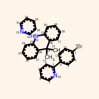 Brc1ccc(-c2ccccn2)cc1.CC1(C)c2ccccc2Nc2ccccc21.c1ccncc1